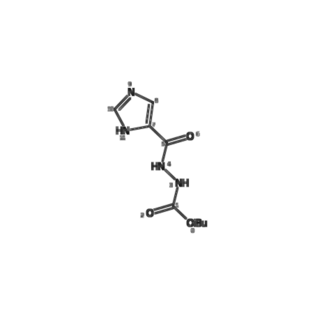 CC(C)COC(=O)NNC(=O)c1cnc[nH]1